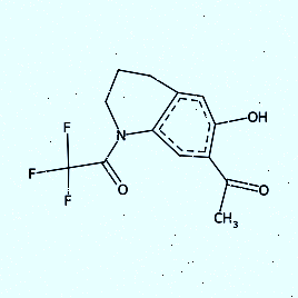 CC(=O)c1cc2c(cc1O)CCCN2C(=O)C(F)(F)F